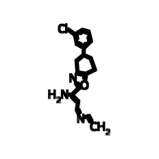 C=C/N=C\C=C(/N)c1nc2c(o1)CCC(c1cccc(Cl)c1)C2